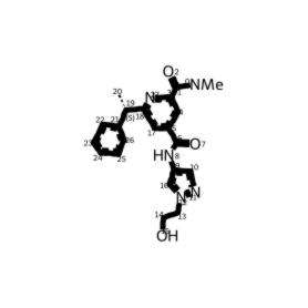 CNC(=O)c1cc(C(=O)Nc2cnn(CCO)c2)cc([C@@H](C)c2ccccc2)n1